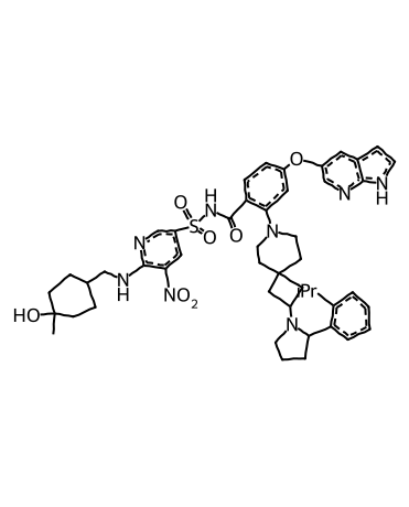 CC(C)c1ccccc1C1CCCN1C1CC2(CCN(c3cc(Oc4cnc5[nH]ccc5c4)ccc3C(=O)NS(=O)(=O)c3cnc(NCC4CCC(C)(O)CC4)c([N+](=O)[O-])c3)CC2)C1